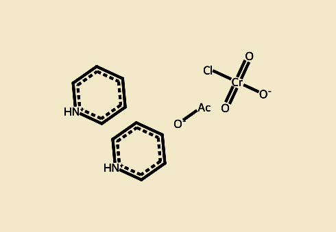 CC(=O)[O-].[O]=[Cr](=[O])([O-])[Cl].c1cc[nH+]cc1.c1cc[nH+]cc1